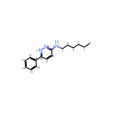 CCCCCCNc1ccc(-c2ccccc2)nn1